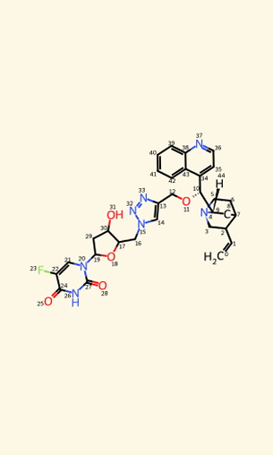 C=CC1C[N@@]2CCC1C[C@H]2[C@H](OCc1cn(CC2OC(n3cc(F)c(=O)[nH]c3=O)CC2O)nn1)c1ccnc2ccccc12